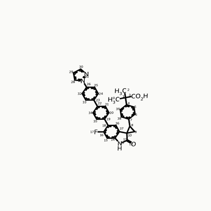 CC(C)(C(=O)O)c1ccc(C2CC23C(=O)Nc2cc(F)c(-c4ccc(-c5ccc(-n6cccn6)cc5)cc4)cc23)cc1